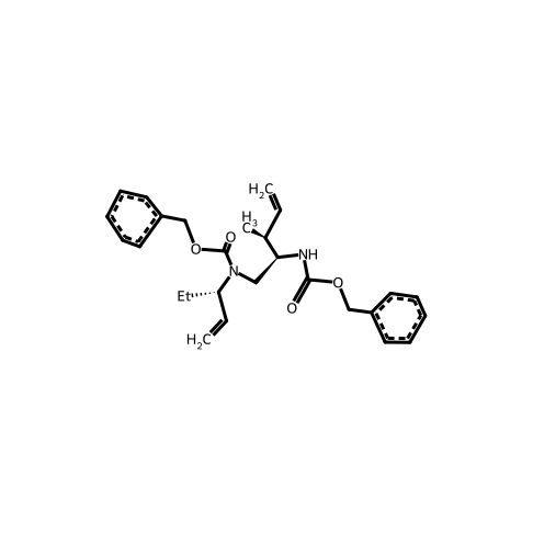 C=C[C@H](CC)N(C[C@H](NC(=O)OCc1ccccc1)[C@@H](C)C=C)C(=O)OCc1ccccc1